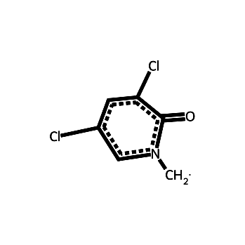 [CH2]n1cc(Cl)cc(Cl)c1=O